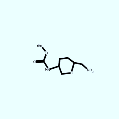 CC(C)(C)OC(=O)NC1CCC(C[N+](=O)[O-])OC1